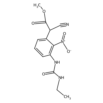 CCNC(=O)Nc1cccc(C(C#N)C(=O)OC)c1[N+](=O)[O-]